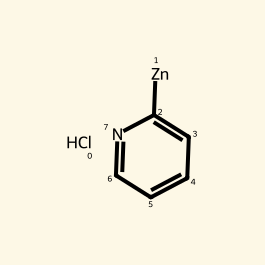 Cl.[Zn][c]1ccccn1